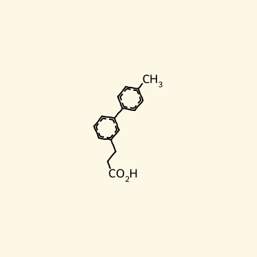 Cc1ccc(-c2cccc(CCC(=O)O)c2)cc1